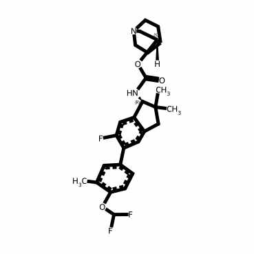 Cc1cc(-c2cc3c(cc2F)[C@H](NC(=O)O[C@@H]2CN4CCC2CC4)C(C)(C)C3)ccc1OC(F)F